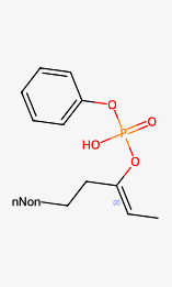 C/C=C(/CCCCCCCCCCC)OP(=O)(O)Oc1ccccc1